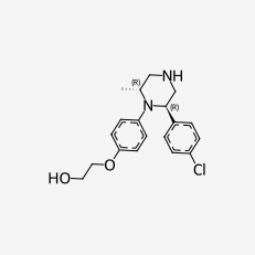 C[C@@H]1CNC[C@@H](c2ccc(Cl)cc2)N1c1ccc(OCCO)cc1